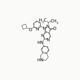 CC(C)n1c(=O)c2cnc(Nc3ccc4c(c3)CNCC4)nc2n1-c1cccc(OC2CCC2)n1